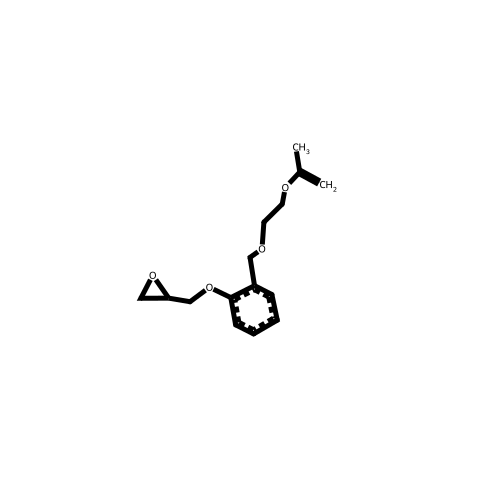 C=C(C)OCCOCc1ccccc1OCC1CO1